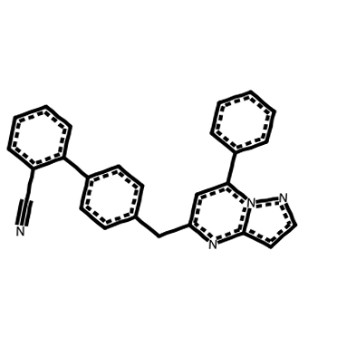 N#Cc1ccccc1-c1ccc(Cc2cc(-c3ccccc3)n3nccc3n2)cc1